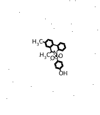 Cc1ccc2c(c1)C(C)N(S(=O)(=O)c1ccc(O)cc1)c1ccccc1-2